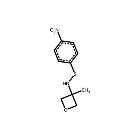 CC1(NSc2ccc([N+](=O)[O-])cc2)COC1